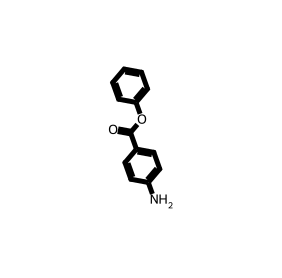 Nc1ccc(C(=O)Oc2ccccc2)cc1